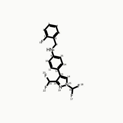 Fc1ccccc1CNc1ccc(-c2cn(C(F)F)nc2C(F)F)cc1